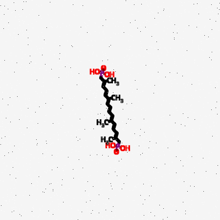 CC(/C=C/C=C(\C)CP(=O)(O)O)=C\C=C\C=C(C)\C=C\C=C(/C)CP(=O)(O)O